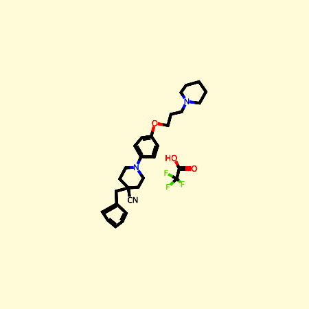 N#CC1(Cc2ccccc2)CCN(c2ccc(OCCCN3CCCCC3)cc2)CC1.O=C(O)C(F)(F)F